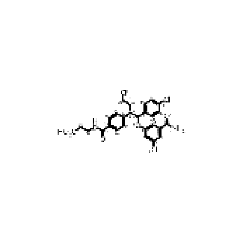 NC(=O)c1cc(Cl)cc(OC(c2ccc(Cl)cc2)[C@H](CCC(F)(F)F)c2ccc(C(=O)NCCC(=O)O)cc2)c1